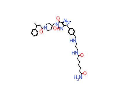 CC(CC(=O)N1CCC(O)(Cn2cnc3c(-c4ccc(CNCCCNC(=O)CCCCCC(N)=O)cc4)n(C)nc3c2=O)CC1)c1ccccc1